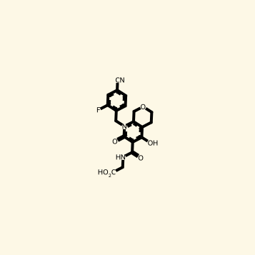 N#Cc1ccc(Cn2c3c(c(O)c(C(=O)NCC(=O)O)c2=O)CCOC3)c(F)c1